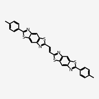 Cc1ccc(-c2nc3cc4sc(/C=C/c5nc6cc7sc(-c8ccc(C)cc8)nc7cc6s5)nc4cc3s2)cc1